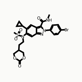 CNC(=O)c1c2cc(C3CC3)c(N(CCC3COC(=O)OC3)S(C)(=O)=O)cc2nn1-c1ccc(Br)cc1